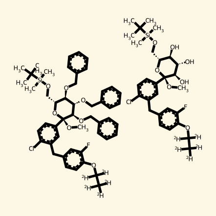 [2H]C([2H])([2H])C([2H])([2H])Oc1ccc(Cc2cc([C@]3(OC)O[C@H](CO[Si](C)(C)C(C)(C)C)[C@@H](O)[C@H](O)[C@H]3O)ccc2Cl)cc1F.[2H]C([2H])([2H])C([2H])([2H])Oc1ccc(Cc2cc([C@]3(OC)O[C@H](CO[Si](C)(C)C(C)(C)C)[C@@H](OCc4ccccc4)[C@H](OCc4ccccc4)[C@H]3OCc3ccccc3)ccc2Cl)cc1F